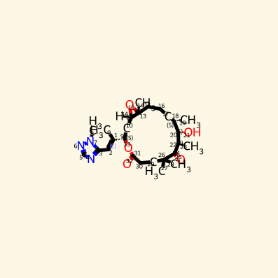 C/C(=C\c1ncnn1C)[C@@H]1C[C@@H]2O[C@]2(C)CCC[C@H](C)[C@H](O)[C@@H](C)C(=O)C(C)(C)CCC(=O)O1